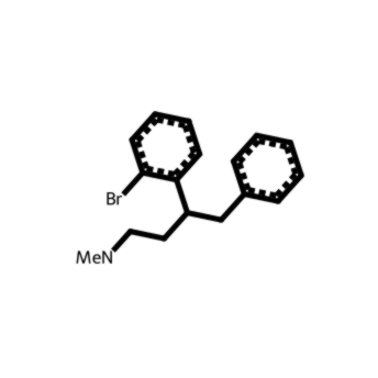 CNCCC(Cc1ccccc1)c1ccccc1Br